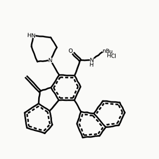 C=C1c2ccccc2-c2c(-c3cccc4ccccc34)cc(C(=O)NCCCC)c(N3CCNCC3)c21.Cl